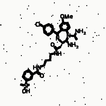 COc1ccc2c(c1)C(c1ccc(Cl)cc1)=N[C@@H](CC(=O)NCCCCNC(=O)c1cccc([Si](C)(C)O)c1)C(N)N2C(C)N